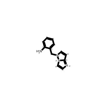 Nc1ccccc1Cn1ccc2nccn21